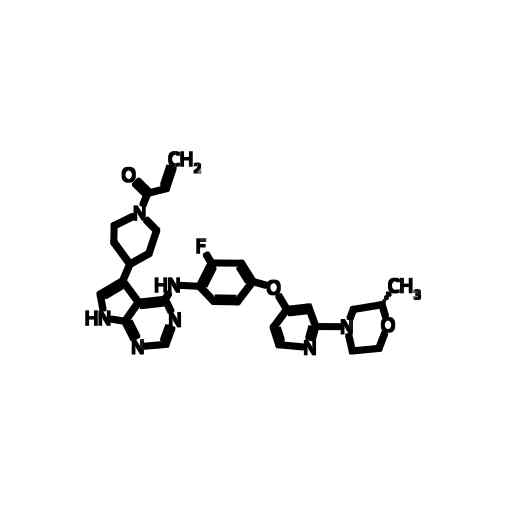 C=CC(=O)N1CCC(c2c[nH]c3ncnc(Nc4ccc(Oc5ccnc(N6CCO[C@@H](C)C6)c5)cc4F)c23)CC1